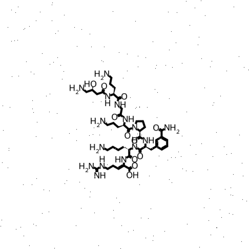 N=C(N)NCC/C=C(\NC(=O)[C@H](CCCCN)NC(=O)[C@H](Cc1cccc(C(N)=O)c1)NC(=O)[C@@H]1CCCN1C(=O)[C@@H](CCCN)NC(=O)CNC(=O)[C@H](CCCN)NC(=O)C[C@@H](O)CN)C(=O)O